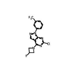 FC1CN(c2nc(Cl)nc3c2cnn3-c2cccc(C(F)(F)F)c2)C1